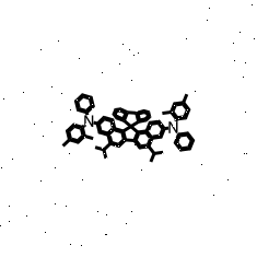 Cc1ccc(N(c2ccccc2)c2ccc3c4c(cc(C(C)C)c3c2)-c2cc(C(C)C)c3cc(N(c5ccccc5)c5ccc(C)cc5C)ccc3c2C42c3ccccc3-c3ccccc32)c(C)c1